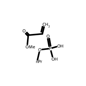 C=CC(=O)OC.CCCOP(=O)(O)O